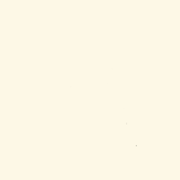 C=CC.C=CC.CCCCOCCCC.CCCCOCCCC.OCCO.OCCOCCO